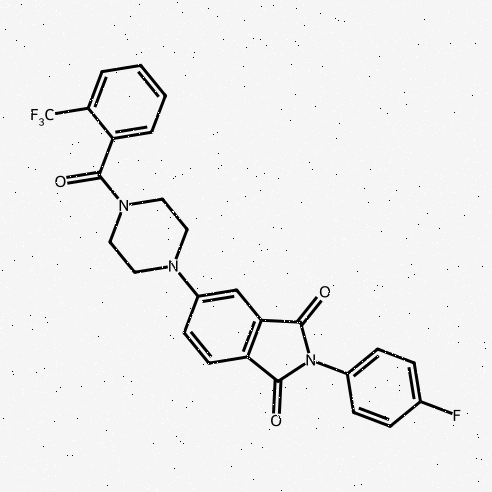 O=C(c1ccccc1C(F)(F)F)N1CCN(c2ccc3c(c2)C(=O)N(c2ccc(F)cc2)C3=O)CC1